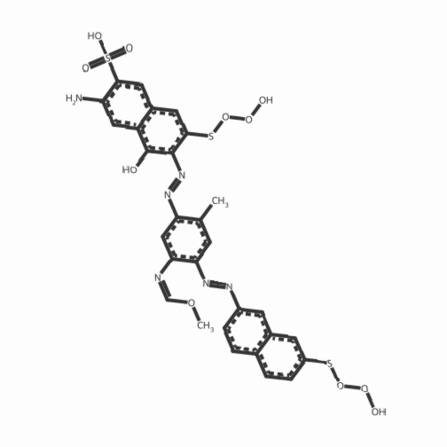 CO/C=N\c1cc(N=Nc2c(SOOO)cc3cc(S(=O)(=O)O)c(N)cc3c2O)c(C)cc1N=Nc1ccc2ccc(SOOO)cc2c1